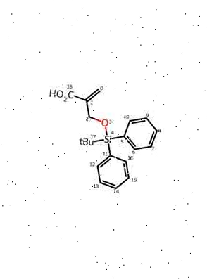 C=C(CO[Si](c1ccccc1)(c1ccccc1)C(C)(C)C)C(=O)O